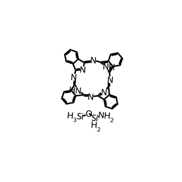 N[SiH2]O[SiH3].c1ccc2c(c1)-c1nc-2nc2[nH]c(nc3nc(nc4[nH]c(n1)c1ccccc41)-c1ccccc1-3)c1ccccc21